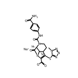 Cn1nnnc1SC1=C(C(=O)[O-])N2C(=O)[C@@H]3[C@H]2C1CCN3C(=O)Nc1ccc(C(N)=O)cc1.[Na+]